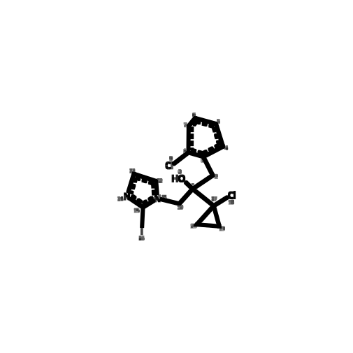 OC(Cc1ccccc1Cl)(Cn1ccnc1I)C1(Cl)CC1